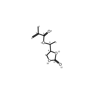 C=C(C)C(=O)OC(C)C1COC(=O)O1